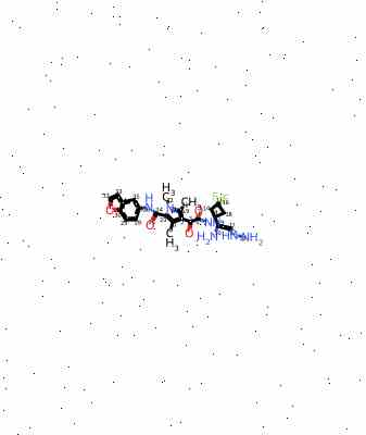 Cc1c(C(=O)C(=O)NC2(/C(N)=C/NN)CC(F)(F)C2)c(C)n(C)c1C(=O)Nc1ccc2occc2c1